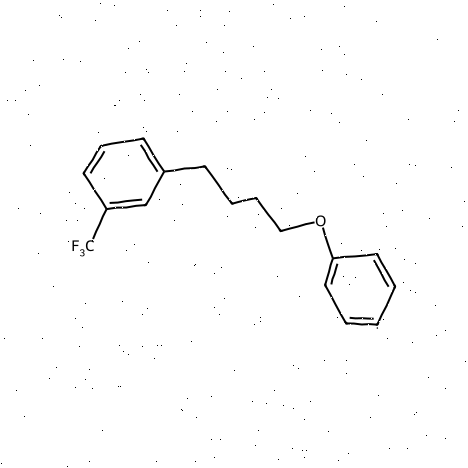 FC(F)(F)c1cccc(CCCCOc2cc[c]cc2)c1